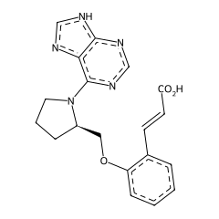 O=C(O)/C=C/c1ccccc1OC[C@H]1CCCN1c1ncnc2[nH]cnc12